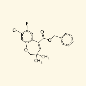 CC1(C)C=C(C(=O)OCc2ccccc2)c2cc(F)c(Cl)cc2OC1